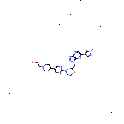 Cn1cc(-c2cnc3nnn(CC4CN(c5ncc(C6CCN(CCO)CC6)cn5)CCO4)c3n2)cn1